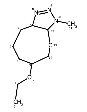 CCOC1CCCC2N=NN(C)C2CC1